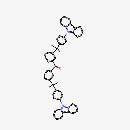 CC(C)(c1ccc(-n2c3ccccc3c3ccccc32)cc1)c1cccc(C(=O)c2cccc(C(C)(C)c3ccc(-n4c5ccccc5c5ccccc54)cc3)c2)c1